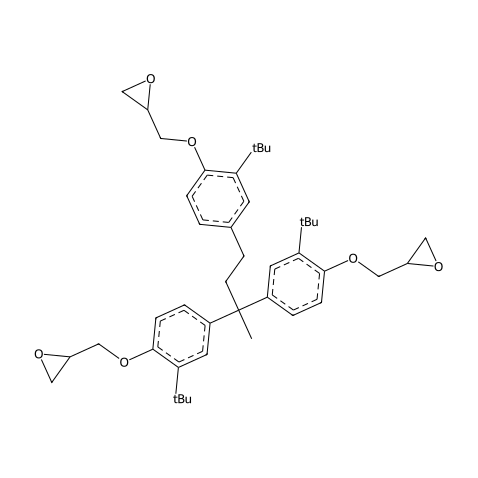 CC(C)(C)c1cc(CCC(C)(c2ccc(OCC3CO3)c(C(C)(C)C)c2)c2ccc(OCC3CO3)c(C(C)(C)C)c2)ccc1OCC1CO1